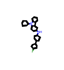 Fc1ccc(-c2ccc(Nc3ccc4c(c3)c3ccccc3n4-c3ccccc3)cc2)cc1